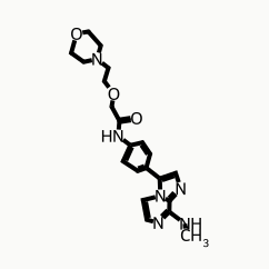 CNc1nccn2c(-c3ccc(NC(=O)COCCN4CCOCC4)cc3)cnc12